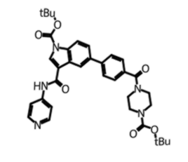 CC(C)(C)OC(=O)N1CCN(C(=O)c2ccc(-c3ccc4c(c3)c(C(=O)Nc3ccncc3)cn4C(=O)OC(C)(C)C)cc2)CC1